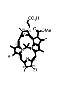 CC[C@H]1/C2=C/c3c(C)c4c5n3C(C)(C)n3/c(c(C)c(C(C)=O)/c3=C/C(=N2)[C@@H]1C)=C\C1=NC(=C\5C(C(=O)OC)C4=O)/[C@@H](CCC(=O)O)[C@@H]1C